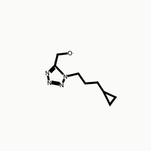 [O]Cc1nnnn1CCCC1CC1